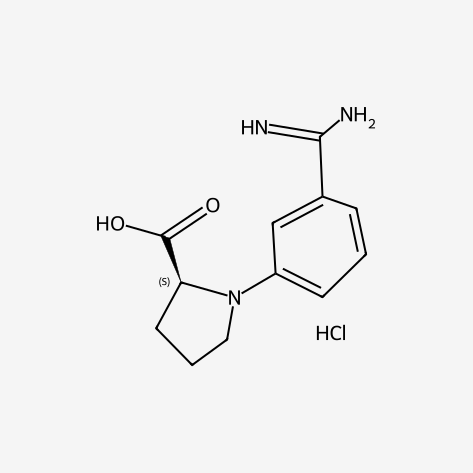 Cl.N=C(N)c1cccc(N2CCC[C@H]2C(=O)O)c1